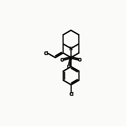 O=C1CC2CCCC(C1=CCl)N2S(=O)(=O)c1ccc(Cl)cc1